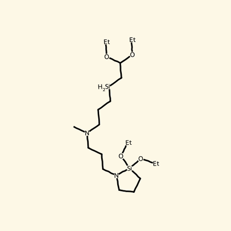 CCOC(C[SiH2]CCCN(C)CCCN1CCC[Si]1(OCC)OCC)OCC